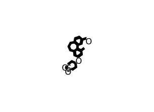 Cc1cc(OC2CCS(=O)(=O)CC2)cc2c1-c1cc(C=O)ccc1CCC2